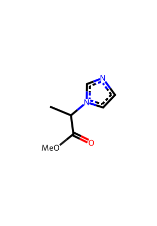 COC(=O)C(C)n1ccnc1